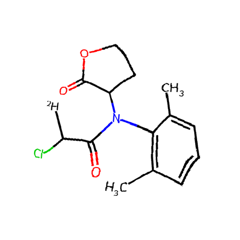 [2H]C(Cl)C(=O)N(c1c(C)cccc1C)C1CCOC1=O